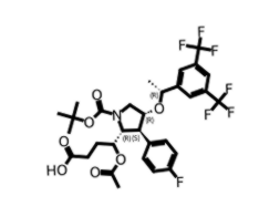 CC(=O)OC(CCC(=O)O)[C@H]1[C@H](c2ccc(F)cc2)[C@@H](O[C@H](C)c2cc(C(F)(F)F)cc(C(F)(F)F)c2)CN1C(=O)OC(C)(C)C